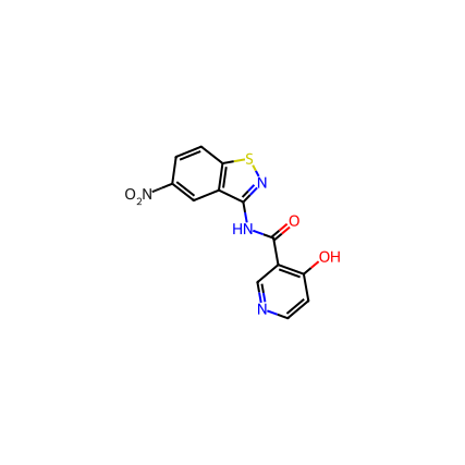 O=C(Nc1nsc2ccc([N+](=O)[O-])cc12)c1cnccc1O